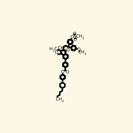 CCCCCC1CCC(c2ccc(OC(=O)c3ccc(-c4ccc5c6c(c7c(c5c4)COC7(C)C)C=CC(c4ccc(OC)cc4)(c4ccc(OS(C)(=O)=O)cc4)O6)cc3)cc2)CC1